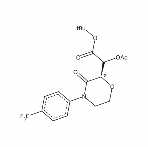 CC(=O)OC(C(=O)OC(C)(C)C)[C@H]1OCCN(c2ccc(C(F)(F)F)cc2)C1=O